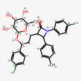 Cc1ccc(C2C(CC[C@H](O[C@@H]3O[C@H](C(=O)O)[C@@H](O)[C@H](O)[C@H]3O)c3ccc(F)cc3)C(=O)N2c2ccc(F)cc2)cc1